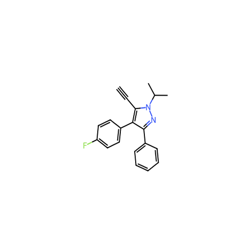 C#Cc1c(-c2ccc(F)cc2)c(-c2ccccc2)nn1C(C)C